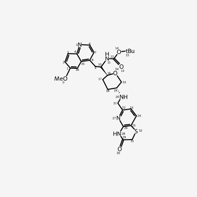 COc1ccc2nccc(CC(NC(=O)OC(C)(C)C)[C@@H]3CC[C@@H](NCc4ccc5c(n4)NC(=O)CS5)CO3)c2c1